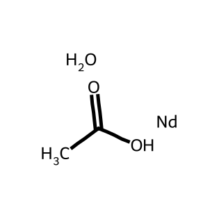 CC(=O)O.O.[Nd]